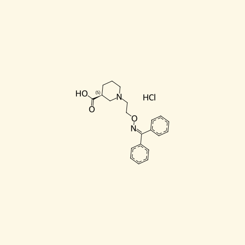 Cl.O=C(O)[C@H]1CCCN(CCON=C(c2ccccc2)c2ccccc2)C1